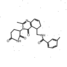 Cc1cccc(C(=O)NCC2CC=Cc3nc(C)n(C4CCC(=O)NC4=O)c(=O)c32)c1